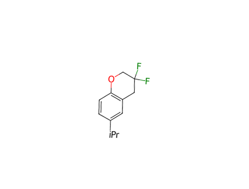 CC(C)c1ccc2c(c1)CC(F)(F)CO2